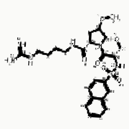 COC1C[C@@H](C(=O)NCCCCNC(=N)N)N(C(=O)[C@H](CO)NS(=O)(=O)c2ccc3ccccc3c2)C1